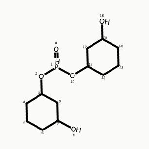 O=[PH](OC1CCCC(O)C1)OC1CCCC(O)C1